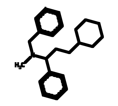 CN(Cc1c[c]ccc1)C(CCC1CCCCC1)c1ccccc1